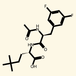 CC(=O)N[C@@H](Cc1cc(F)cc(F)c1)C(=O)N[C@@H](CCC(C)(C)C)C(=O)O